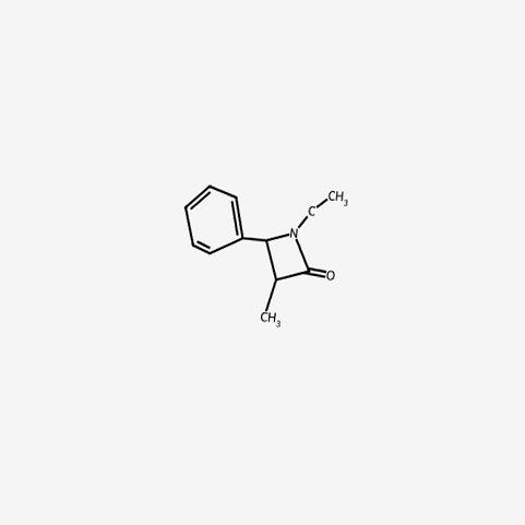 CCN1C(=O)C(C)C1c1ccccc1